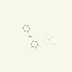 OC[C@@H]1O[C@H](Oc2c(C=Cc3ccccc3)cc(O)c(O)c2O)[C@@H](O)[C@H](O)[C@H]1O